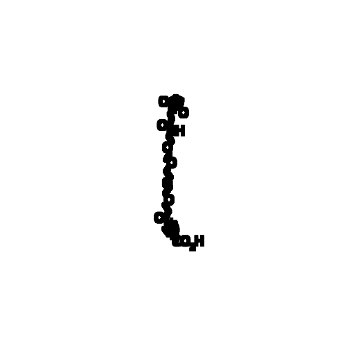 O=C(CCN1C(=O)C=CC1=O)NCCOCCOCCOCCOCCC(=O)N1CCN(C(=O)O)CC1